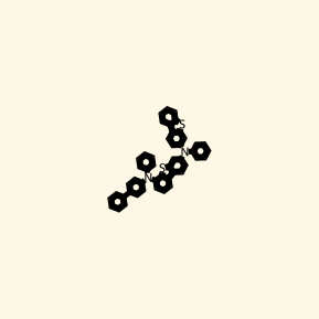 c1ccc(-c2ccc(N(c3ccccc3)c3cccc4c3sc3cc(N(c5ccccc5)c5ccc6c(c5)sc5ccccc56)ccc34)cc2)cc1